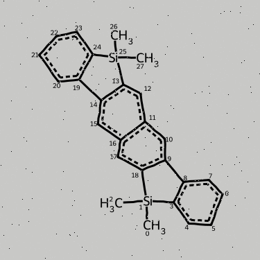 C[Si]1(C)c2ccccc2-c2cc3cc4c(cc3cc21)-c1ccccc1[Si]4(C)C